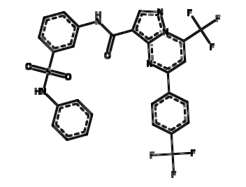 O=C(Nc1cccc(S(=O)(=O)Nc2ccccc2)c1)c1cnn2c(C(F)(F)F)cc(-c3ccc(C(F)(F)F)cc3)nc12